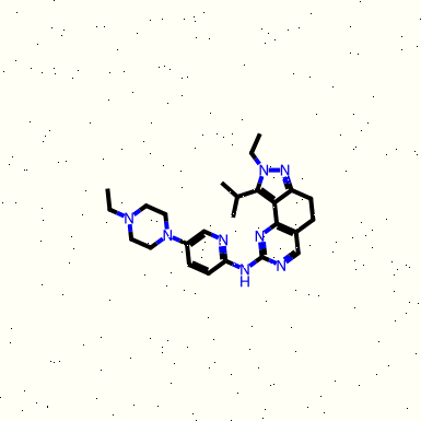 CCN1CCN(c2ccc(Nc3ncc4c(n3)-c3c(nn(CC)c3C(C)C)CC4)nc2)CC1